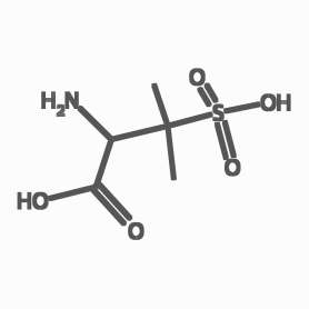 CC(C)(C(N)C(=O)O)S(=O)(=O)O